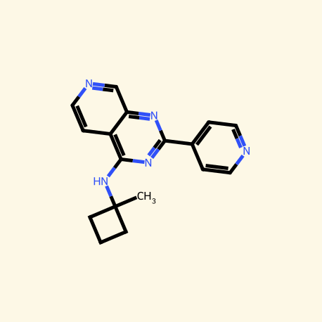 CC1(Nc2nc(-c3ccncc3)nc3cnccc23)CCC1